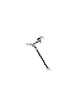 CCCCCCCCCCCCCCCCCCOCCOP(=O)(COCCn1ccc(N)nc1=O)OCC